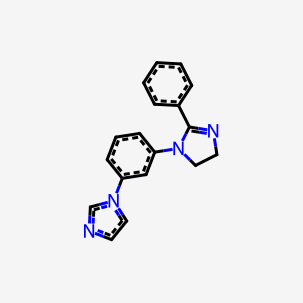 c1ccc(C2=NCCN2c2cccc(-n3ccnc3)c2)cc1